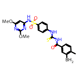 Bc1cc(C(=O)NC(=S)Nc2ccc(S(=O)(=O)Nc3cc(OC)nc(OC)n3)cc2)ccc1C